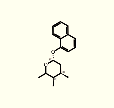 CC1O[C@H](Oc2cccc3ccccc23)C[C@@H](C)[C@H]1C